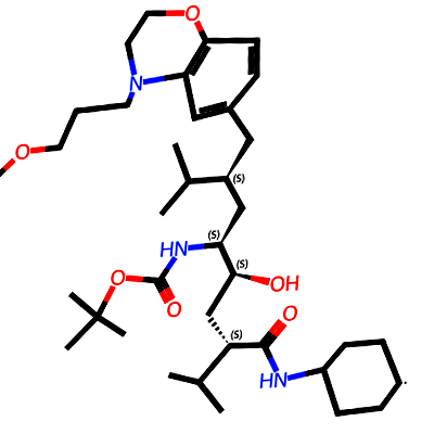 COCCCN1CCOc2ccc(C[C@@H](C[C@H](NC(=O)OC(C)(C)C)[C@@H](O)C[C@H](C(=O)NC3CC[CH]CC3)C(C)C)C(C)C)cc21